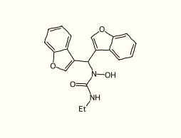 CCNC(=O)N(O)C(c1coc2ccccc12)c1coc2ccccc12